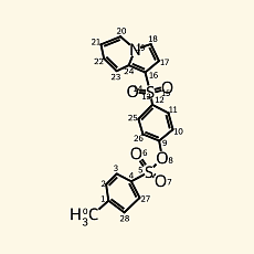 Cc1ccc(S(=O)(=O)Oc2ccc(S(=O)(=O)c3ccn4ccccc34)cc2)cc1